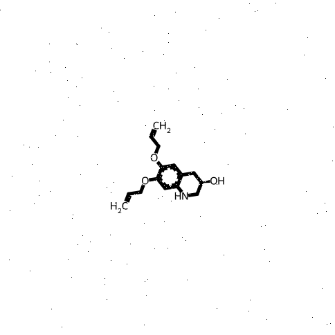 C=CCOc1cc2c(cc1OCC=C)NC[C@H](O)C2